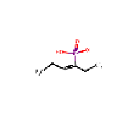 O=P(O)(O)C(=CCC(F)(F)F)CC(F)(F)F